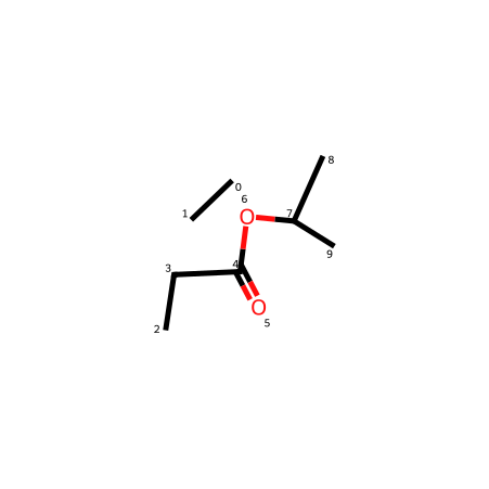 CC.CCC(=O)OC(C)C